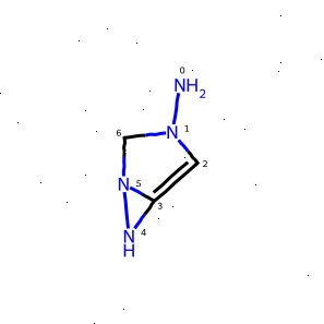 NN1C=C2NN2C1